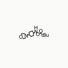 CC(C)(C)C(=O)ONC1CCC(N2CCOCC2)CC1